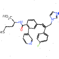 CSCC[C@H](NC(=O)c1ccc(/C=C(/Cn2ccnc2)c2ccc(F)cc2)cc1-c1cccnc1)C(=O)O